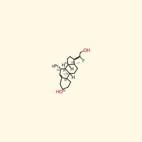 CCC[C@@H]1C=C2C[C@@H](O)CC[C@]2(C)[C@H]2CC[C@]3(C)C(=C(F)CO)CC[C@H]3[C@H]12